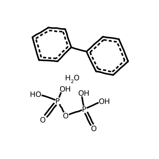 O.O=P(O)(O)OP(=O)(O)O.c1ccc(-c2ccccc2)cc1